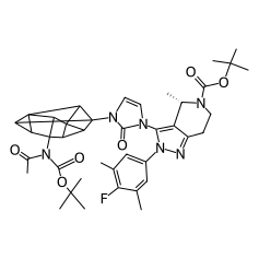 CC(=O)N(C(=O)OC(C)(C)C)C12C3C4C35C1C13C2C1C4(n1ccn(-c2c4c(nn2-c2cc(C)c(F)c(C)c2)CCN(C(=O)OC(C)(C)C)[C@H]4C)c1=O)C53